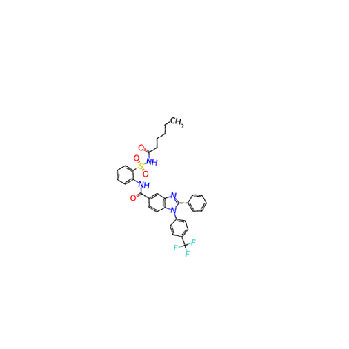 CCCCCC(=O)NS(=O)(=O)c1ccccc1NC(=O)c1ccc2c(c1)nc(-c1ccccc1)n2-c1ccc(C(F)(F)F)cc1